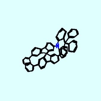 c1ccc(-c2ccc3c(c2)C2(c4cc(-c5ccccc5)ccc4-3)c3cc(-c4ccccc4)ccc3-c3ccc(N4c5ccccc5C(c5ccccc5)(c5ccccc5)c5ccccc54)cc32)cc1